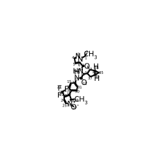 CCn1nccc1C(=O)N[C@@H](C(=O)Nc1ccc(-c2c(C(F)(F)F)cc[n+]([O-])c2C)cc1)C1C[C@@H]2C[C@@H]2C1